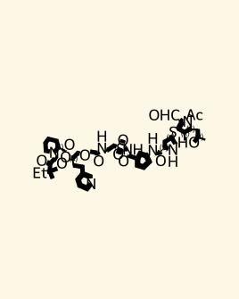 CCC(C)(C)C(=O)C(=O)N1CCCC[C@H]1C(=O)O[C@H](CCc1cccnc1)COCC(=O)NCCS(=O)(=O)NC(=O)c1cccc(NC(=O)[C@@H]2C[C@H](SC3=C(C=O)N(C(C)=O)[C@@H](C[C@@H](C)O)[C@H]3C)CN2)c1